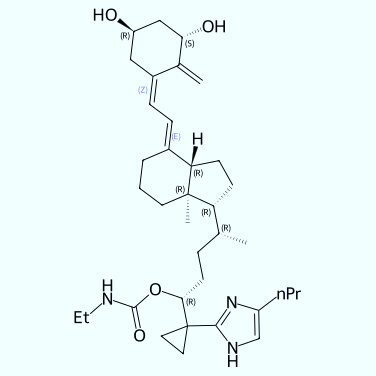 C=C1/C(=C\C=C2/CCC[C@]3(C)[C@@H]([C@H](C)CC[C@@H](OC(=O)NCC)C4(c5nc(CCC)c[nH]5)CC4)CC[C@@H]23)C[C@@H](O)C[C@@H]1O